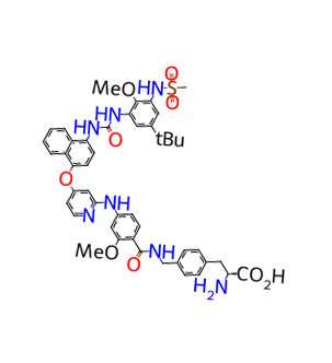 COc1cc(Nc2cc(Oc3ccc(NC(=O)Nc4cc(C(C)(C)C)cc(NS(C)(=O)=O)c4OC)c4ccccc34)ccn2)ccc1C(=O)NCc1ccc(C[C@H](N)C(=O)O)cc1